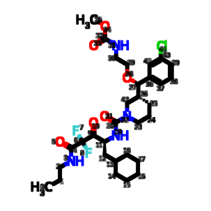 CCCNC(=O)C(F)(F)C(=O)[C@H](CC1CCCCC1)NC(=O)N1CCC[C@@H]([C@@H](OCCNC(=O)OC)c2cccc(Cl)c2)C1